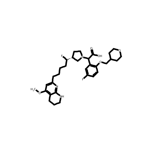 COc1cc(CCCCC(F)[C@@H]2CCN(C(C(=O)O)c3cc(F)ccc3OCC3CCOCC3)C2)nc2c1CCCN2